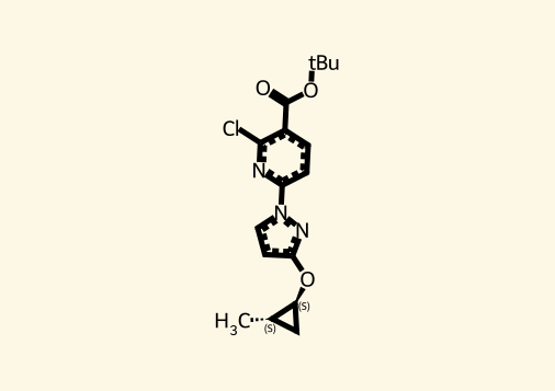 C[C@H]1C[C@@H]1Oc1ccn(-c2ccc(C(=O)OC(C)(C)C)c(Cl)n2)n1